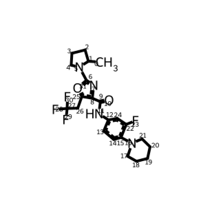 CC1CCCN1c1nc(C(=O)Nc2ccc(N3CCCCC3)c(F)c2)c(CC(F)(F)F)o1